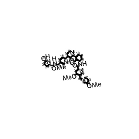 COc1cc(C(=O)Nc2cccc(-c3nccc(-c4ccc(CNC[C@@H]5CCC(=O)N5)c(OC)n4)c3Cl)c2Cl)ncc1CN1CC[C@@H](OC)C1